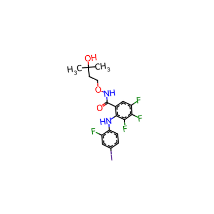 CC(C)(O)CCONC(=O)c1cc(F)c(F)c(F)c1Nc1ccc(I)cc1F